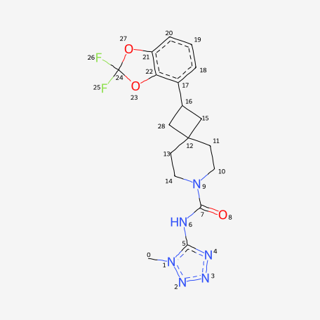 Cn1nnnc1NC(=O)N1CCC2(CC1)CC(c1cccc3c1OC(F)(F)O3)C2